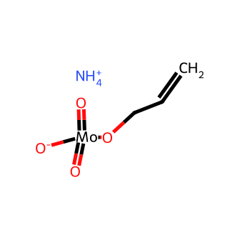 C=CC[O][Mo](=[O])(=[O])[O-].[NH4+]